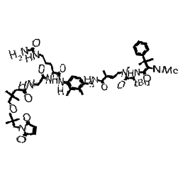 CNC(C(=O)NC(C(=O)N(C)C/C=C(\C)C(=O)NSc1ccc(NC(=O)C(CCCNC(N)=O)NC(=O)CNC(=O)CC(C)(C)COCC(C)(C)CN2C(=O)C=CC2=O)c(C)c1C)C(C)(C)C)C(C)(C)c1ccccc1